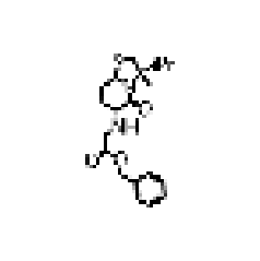 CC(C)C1(C)CSC2CCC(NCC(=O)OCc3ccccc3)C(=O)N21